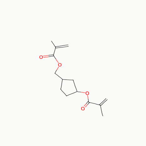 C=C(C)C(=O)OCC1CCC(OC(=O)C(=C)C)C1